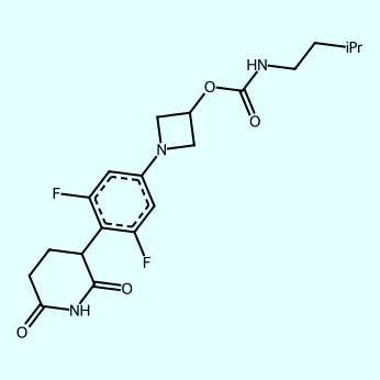 CC(C)CCNC(=O)OC1CN(c2cc(F)c(C3CCC(=O)NC3=O)c(F)c2)C1